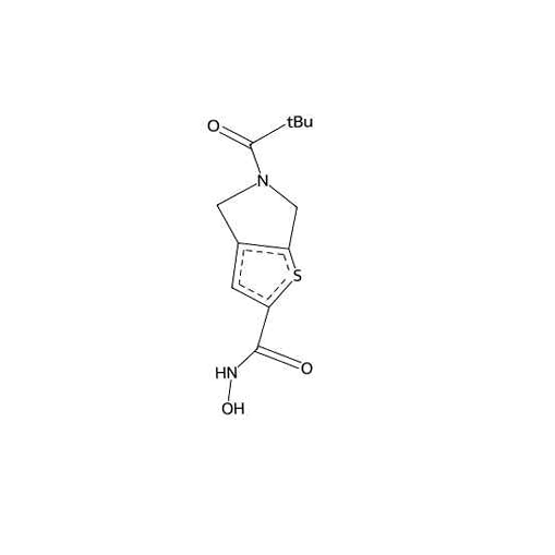 CC(C)(C)C(=O)N1Cc2cc(C(=O)NO)sc2C1